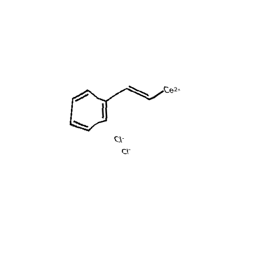 [Ce+2][CH]=Cc1ccccc1.[Cl-].[Cl-]